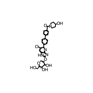 O=C(c1ccc(-c2ccc(-c3nc4nc(O[C@H]5CO[C@H](CO)[C@@H](O)[C@@H]5O)[nH]c4cc3Cl)cc2)cc1)N1CCC(O)CC1